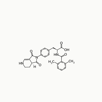 Cc1cccc(C)c1C(=O)N[C@@H](Cc1ccc(N2C(=O)C3=CNCC[C@@H]3C2=O)cc1)C(=O)O